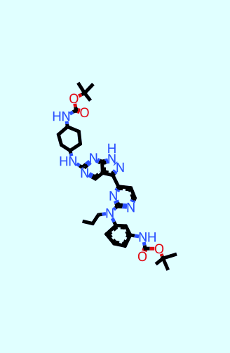 CCCN(c1cccc(NC(=O)OC(C)(C)C)c1)c1nccc(-c2n[nH]c3nc(NC4CCC(NC(=O)OC(C)(C)C)CC4)ncc23)n1